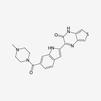 CN1CCN(C(=O)c2ccc3cc(-c4nc5cscc5[nH]c4=O)[nH]c3c2)CC1